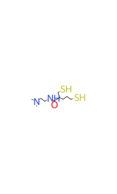 CN(C)CCNC(=O)C(CS)CCCS